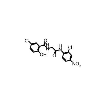 O=C(CNC(=O)c1cc(Cl)ccc1O)Nc1ccc([N+](=O)[O-])cc1Cl